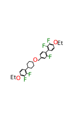 CCOc1ccc(-c2ccc(COC3CCC(c4ccc(OCC)c(F)c4F)CC3)cc2F)c(F)c1F